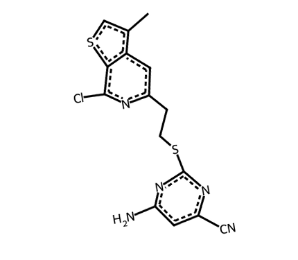 Cc1csc2c(Cl)nc(CCSc3nc(N)cc(C#N)n3)cc12